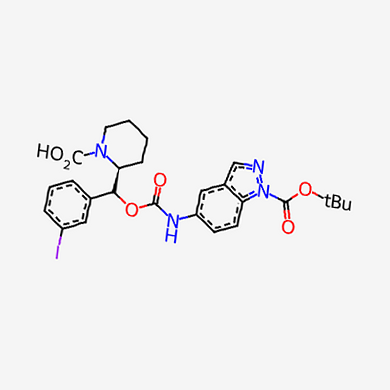 CC(C)(C)OC(=O)n1ncc2cc(NC(=O)OC(c3cccc(I)c3)[C@@H]3CCCCN3C(=O)O)ccc21